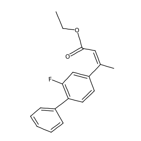 CCOC(=O)/C=C(/C)c1ccc(-c2ccccc2)c(F)c1